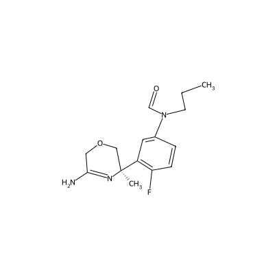 CCCN(C=O)c1ccc(F)c([C@]2(C)COCC(N)=N2)c1